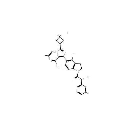 Cc1cn2c(C3CC(C)(O)C3)nc(-c3ccc4c(c3F)CCN4C(=O)[C@@H](O)c3cccc(F)c3)c2c(N)n1